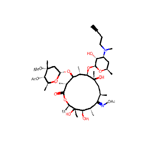 C#CCCN(C)[C@H]1C[C@@H](C)O[C@@H](O[C@@H]2[C@@H](C)C(O[C@H]3C[C@@](C)(OC)[C@@H](OC(C)=O)[C@H](C)O3)[C@@H](C)C(=O)O[C@H](CC)[C@@](C)(O)[C@H](O)[C@@H](C)/C(=N/OC(C)=O)[C@H](C)C[C@@]2(C)O)[C@@H]1O